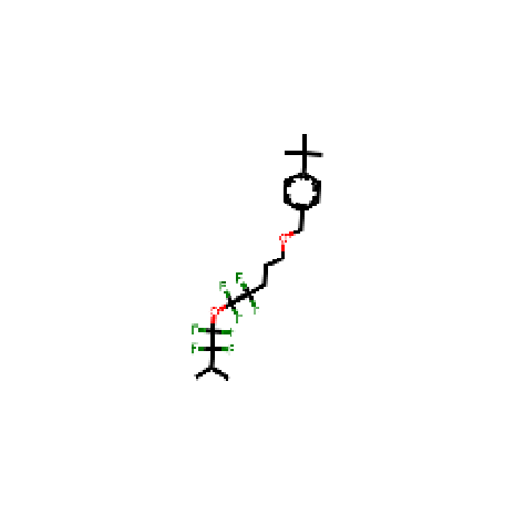 CC(C)C(F)(F)C(F)(F)OC(F)(F)C(F)(F)CCCOCc1ccc(C(C)(C)C)cc1